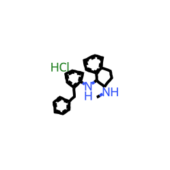 CNC1CCc2ccccc2C1Nc1ccccc1Cc1ccccc1.Cl